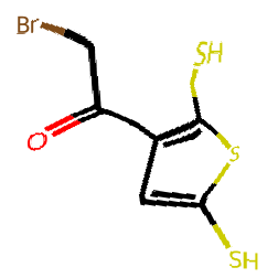 O=C(CBr)c1cc(S)sc1S